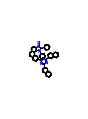 c1ccc(C2Nc3ccc4ccc5ccc(-c6nc(-c7ccc8ccccc8c7)nc(-c7ccc8ccccc8c7)n6)cc5c4c3N2c2ccccc2)cc1